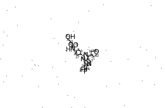 O=C(Nc1ccc(-c2nc(C3=CCOCC3)c3cnn(CC(F)(F)F)c3n2)cc1)OCCO